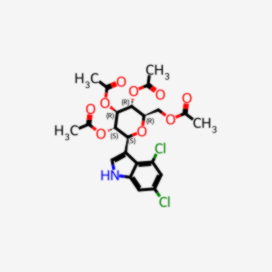 CC(=O)OC[C@H]1O[C@@H](c2c[nH]c3cc(Cl)cc(Cl)c23)[C@H](OC(C)=O)[C@@H](OC(C)=O)[C@@H]1OC(C)=O